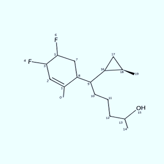 CC1=CC(F)C(F)CC1C(CCCC(C)O)C1C[C@H]1C